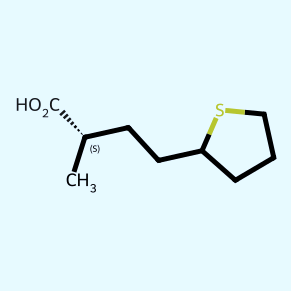 C[C@@H](CCC1CCCS1)C(=O)O